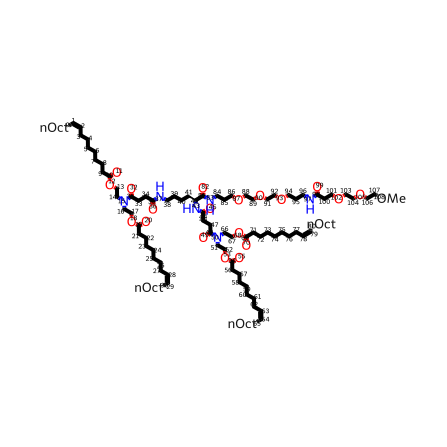 CCCCCCCC/C=C\CCCCCCCC(=O)OCCN(CCOC(=O)CCCCCCC/C=C\CCCCCCCC)C(=O)CCC(=O)NCCCC[C@H](NC(=O)CCC(=O)N(CCOC(=O)CCCCCCC/C=C\CCCCCCCC)CCOC(=O)CCCCCCC/C=C\CCCCCCCC)C(=O)NCCCOCCOCCOCCCNC(=O)CCOCCOCCOC